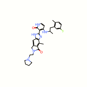 Cc1ccc(F)cc1CC(C)Nc1cc[nH]c(=O)c1-c1nc2c(C)c3c(cc2[nH]1)CN(CCN1CCCC1)C3=O